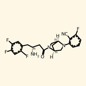 N#Cc1c(F)cccc1N1C[C@@H]2C[C@H]1CN2C(=O)C[C@H](N)Cc1cc(F)c(F)cc1F